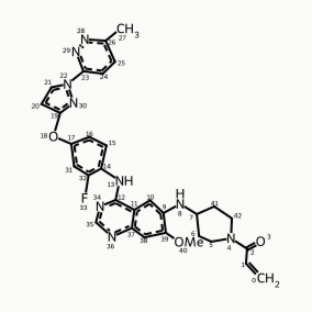 C=CC(=O)N1CCC(Nc2cc3c(Nc4ccc(Oc5ccn(-c6ccc(C)nn6)n5)cc4F)ncnc3cc2OC)CC1